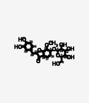 COc1c(OC2OC(CO)C(O)C(O)C2O)ccc2c1OC(=Cc1ccc(O)c(O)c1)C2=O